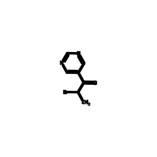 CC(Br)C(=O)c1cncnc1